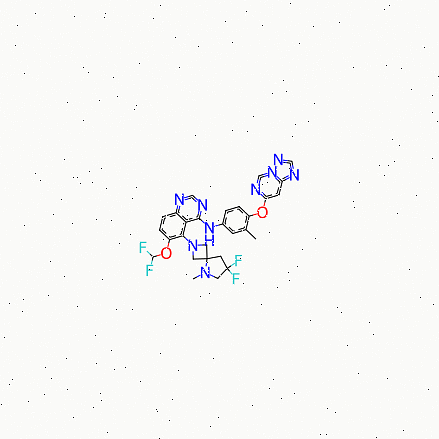 Cc1cc(Nc2ncnc3ccc(OC(F)F)c(N4CC5(C4)CC(F)(F)CN5C)c23)ccc1Oc1cc2ncnn2cn1